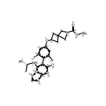 CC(C)[C@@H](C)Nc1c(-c2c(F)cc(OC3CC4(C3)CN(C(=O)OC(C)(C)C)C4)cc2F)c(Cl)nc2ncnn12